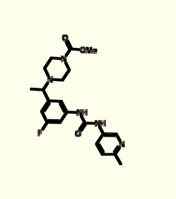 COC(=O)N1CCN(C(C)c2cc(F)cc(NC(=O)Nc3ccc(C)nc3)c2)CC1